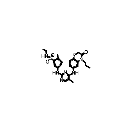 CCCN1C(=O)CSc2ccc(Nc3nc(Nc4ccc(C)c(S(=O)(=O)NCC)c4)ncc3C)cc21